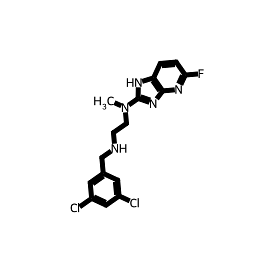 CN(CCNCc1cc(Cl)cc(Cl)c1)c1nc2nc(F)ccc2[nH]1